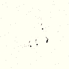 O.O=CO.O=P[O-].O=P[O-].O=P[O-].[Na+].[Na+].[Na+]